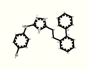 Brc1ccc(Nc2nnc(CCc3ccccc3-c3ccccc3)o2)cc1